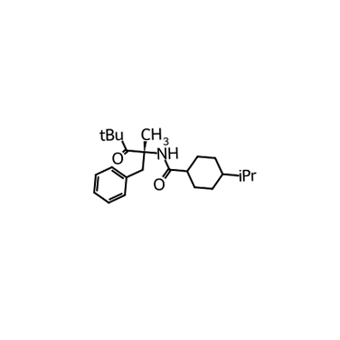 CC(C)C1CCC(C(=O)N[C@](C)(Cc2ccccc2)C(=O)C(C)(C)C)CC1